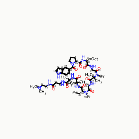 CCCCCCCC[C@H](NC(=O)[C@@H]1CCCN1C(=O)c1ccc2[nH]ccc2c1)C(=O)NCC(=O)N(C(C)C)C(C)(C)C(=O)NCC(=O)N(C(C)C)[C@@H](CC(C)C)C(=O)NC(C)(C)C(=O)NC(C)(C)C(=O)NCCC(=O)NCCN(C)C